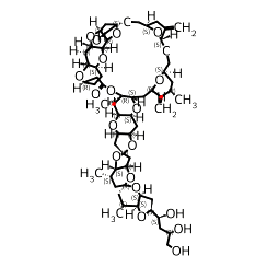 C=C1C[C@@H]2CC[C@@]34C[C@@H]5O[C@H]6[C@@H](O3)[C@H]3O[C@H](CC[C@@H]3O[C@H]6[C@@H]5O4)CC(=O)O[C@@H]3[C@@H](C)[C@@H]4O[C@@H]5C[C@]6(C[C@@H]7O[C@]8(C[C@H](C)[C@@H]9O[C@H]([C@@H](O)C[C@@H](O)CO)C[C@@H]9O8)C[C@H](C)[C@@H]7O6)O[C@@H]5C[C@@H]4O[C@H]3C[C@H]3O[C@@H](CC[C@@H]1O2)C[C@@H](C)C3=C